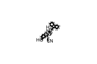 N#CCCNC(=O)C(Cc1ccc(O)cc1)NC(=O)OCC1c2ccccc2-c2ccccc21